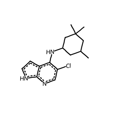 CC1CC(Nc2c(Cl)cnc3[nH]ccc23)CC(C)(C)C1